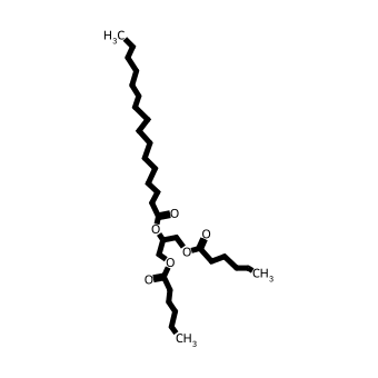 CCCCCCCCCCCCCCCC(=O)OC(COC(=O)CCCCC)COC(=O)CCCCC